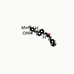 COc1ccc(CNc2nccc3c(NCC45CC(COc6ccc7nccn7c6)(C4)C5)cccc23)c(OC)c1